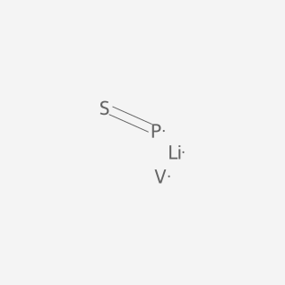 [Li].[P]=S.[V]